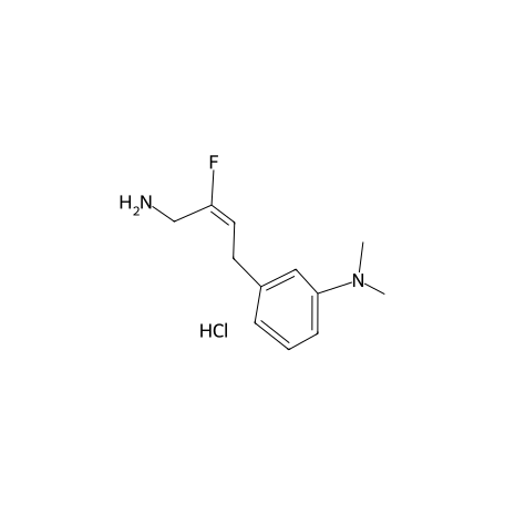 CN(C)c1cccc(C/C=C(/F)CN)c1.Cl